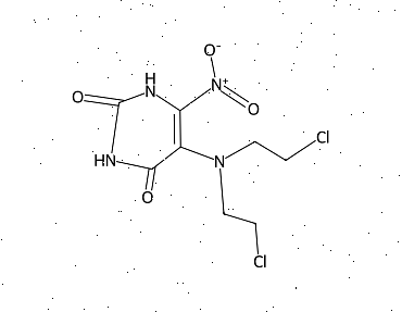 O=c1[nH]c([N+](=O)[O-])c(N(CCCl)CCCl)c(=O)[nH]1